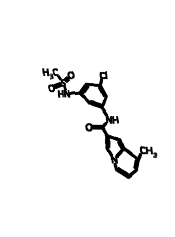 Cc1cccn2cc(C(=O)Nc3cc(Cl)cc(NS(C)(=O)=O)c3)cc12